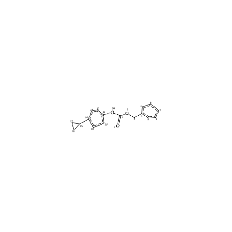 O=C(OCc1ccccc1)Oc1ccc(C2CC2)cc1